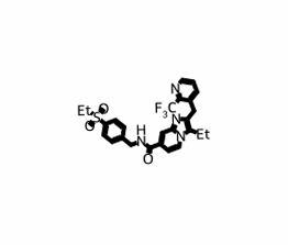 CCc1c(Cc2cccnc2C(F)(F)F)nc2cc(C(=O)NCc3ccc(S(=O)(=O)CC)cc3)ccn12